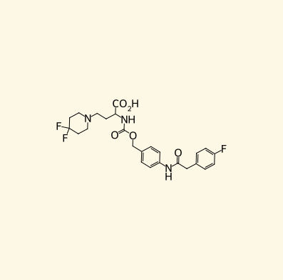 O=C(Cc1ccc(F)cc1)Nc1ccc(COC(=O)NC(CCN2CCC(F)(F)CC2)C(=O)O)cc1